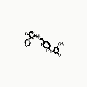 Cc1cc(Cl)cc(NC2C=CC(/C=N/Nc3ncc(F)c(N4CCOCC4)n3)=NC2)c1